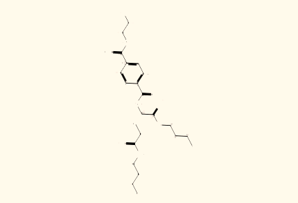 CCCCOC(=O)CC[C@H](NC(=O)c1ccc(C(=O)NCCO)cc1)C(=O)OCCCC